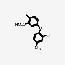 Cc1ccc(Oc2ccc(C(F)(F)F)cc2Cl)cc1C(=O)O